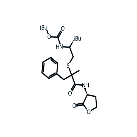 CC[C@H](C)C(CSC(C)(Cc1ccccc1)C(=O)N[C@H]1CCOC1=O)NC(=O)OC(C)(C)C